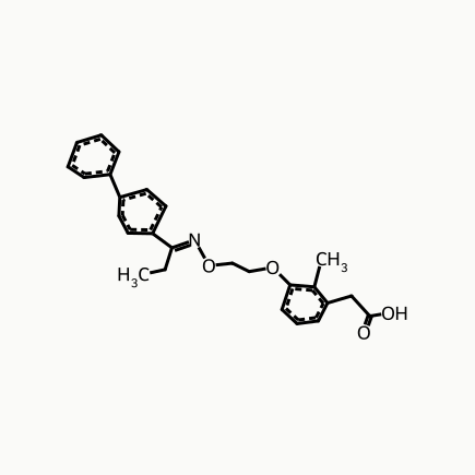 CC/C(=N\OCCOc1cccc(CC(=O)O)c1C)c1ccc(-c2ccccc2)cc1